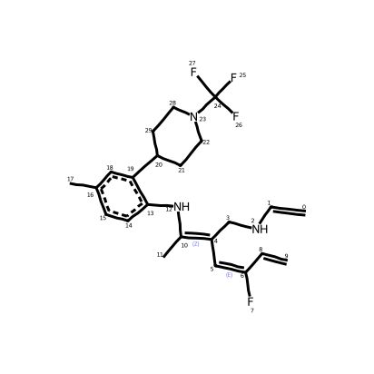 C=CNCC(/C=C(/F)C=C)=C(/C)Nc1ccc(C)cc1C1CCN(C(F)(F)F)CC1